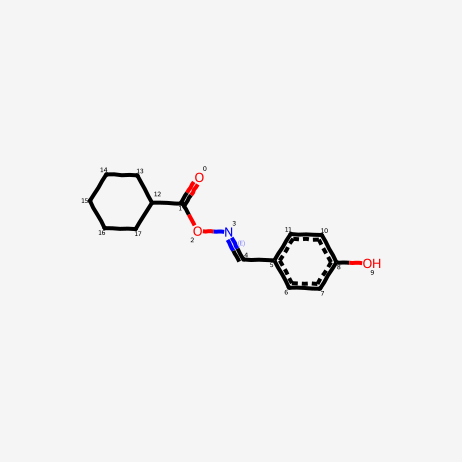 O=C(O/N=C/c1ccc(O)cc1)C1CCCCC1